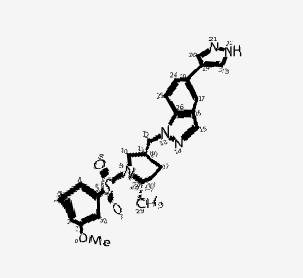 COc1cccc(S(=O)(=O)N2C[C@@H](Cn3ncc4cc(-c5cn[nH]c5)ccc43)C[C@@H]2C)c1